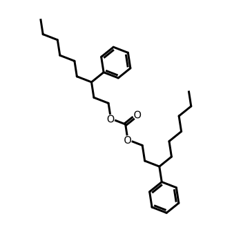 CCCCCCC(CCOC(=O)OCCC(CCCCCC)c1ccccc1)c1ccccc1